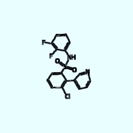 O=S(=O)(Nc1cccc(F)c1F)c1cccc(Cl)c1-c1cccnc1